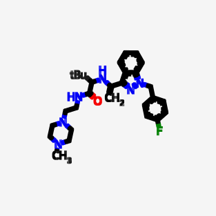 C=C(NC(C(=O)NCCN1CCN(C)CC1)C(C)(C)C)c1nn(Cc2ccc(F)cc2)c2ccccc12